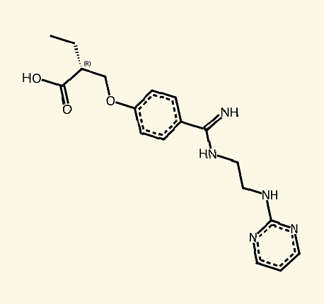 CC[C@H](COc1ccc(C(=N)NCCNc2ncccn2)cc1)C(=O)O